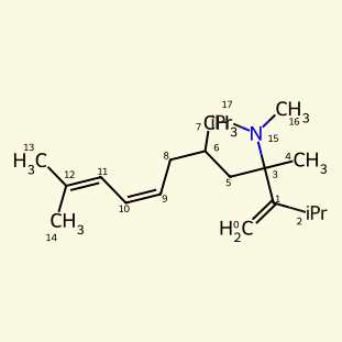 C=C(C(C)C)C(C)(CC(C)C/C=C\C=C(C)C)N(C)C(C)C